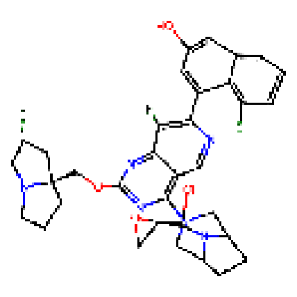 Oc1cc(-c2ncc3c(N4CC5CCC(C4)N5C(O)[C@H]4CO4)nc(OC[C@@]45CCCN4C[C@H](F)C5)nc3c2F)c2c(F)cccc2c1